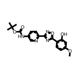 COc1ccc(-c2nc(-c3ccc(NC(=O)OC(C)(C)C)cn3)no2)c(O)c1